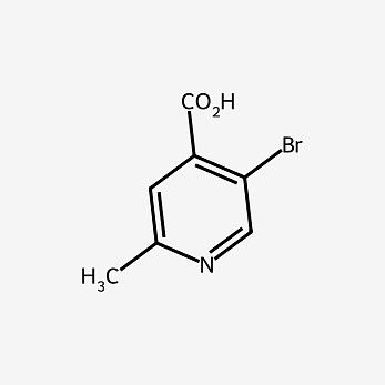 Cc1cc(C(=O)O)c(Br)cn1